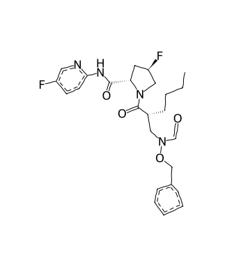 CCCC[C@H](CN(C=O)OCc1ccccc1)C(=O)N1C[C@H](F)C[C@H]1C(=O)Nc1ccc(F)cn1